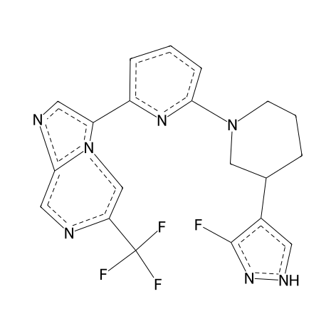 Fc1n[nH]cc1C1CCCN(c2cccc(-c3cnc4cnc(C(F)(F)F)cn34)n2)C1